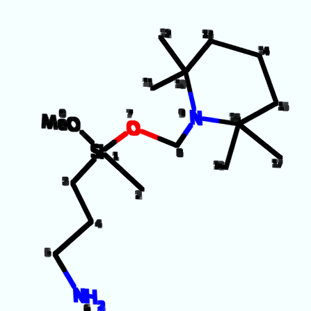 CO[Si](C)(CCCN)OCN1C(C)(C)CCCC1(C)C